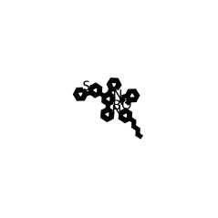 CCCCCc1ccc(N2B3c4oc5ccccc5c4-n4c5ccccc5c5c(-c6ccc7sc8ccccc8c7c6)cc(c3c54)-c3ccccc32)cc1